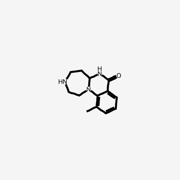 Cc1cccc2c1N1CCNCCC1NC2=O